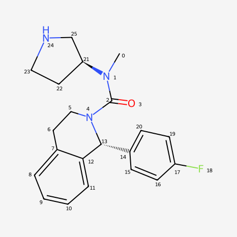 CN(C(=O)N1CCc2ccccc2[C@H]1c1ccc(F)cc1)[C@H]1CCNC1